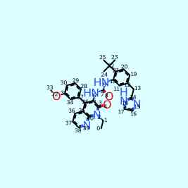 CCn1c(=O)c(NC(=O)Nc2cc(Cc3ncc[nH]3)ccc2C(C)(C)C)c(-c2cccc(OC)c2)c2cccnc21